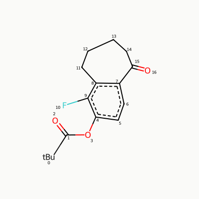 CC(C)(C)C(=O)Oc1ccc2c(c1F)CCCCC2=O